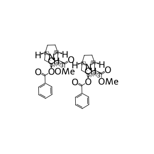 COC(=O)[C@H]1[C@@H](OC(=O)c2ccccc2)C[C@@H]2CC[C@H]1N2C.COC(=O)[C@H]1[C@@H](OC(=O)c2ccccc2)C[C@@H]2CC[C@H]1N2C